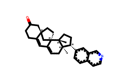 C[C@@]12CC[C@H](c3ccc4ccncc4c3)[C@@]1(C)CC=C1C=C3CCC(=O)C[C@]34CC[C@@]12C4